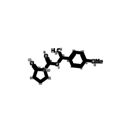 COc1ccc(C(C)OC(=O)N2CCCC2=O)cc1